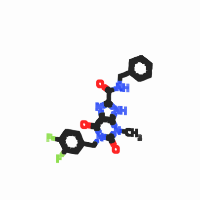 Cn1c(=O)n(Cc2ccc(F)c(F)c2)c(=O)c2nc(C(=O)NCc3ccccc3)[nH]c21